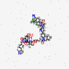 Cc1ncsc1-c1ccc(CNC(=O)[C@@H]2C[C@@H](O)CN2C(=O)[C@@H](NC(=O)COCCCC(=O)N(Cc2ccccc2)c2ccc(-c3ccc(N4C(=S)N(c5ccc(C#N)c(C(F)(F)F)c5F)C(=O)C4(C)C)cn3)cc2)C(C)(C)C)cc1